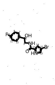 O=C(NCC(O)c1ccc(F)cc1)c1cc(Br)c[nH]1